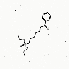 CCOP(=O)(CCCCCCC(=O)c1ccccc1)OCC